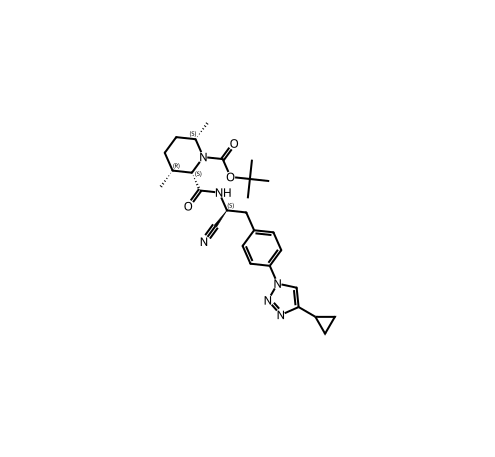 C[C@@H]1CC[C@H](C)N(C(=O)OC(C)(C)C)[C@@H]1C(=O)N[C@H](C#N)Cc1ccc(-n2cc(C3CC3)nn2)cc1